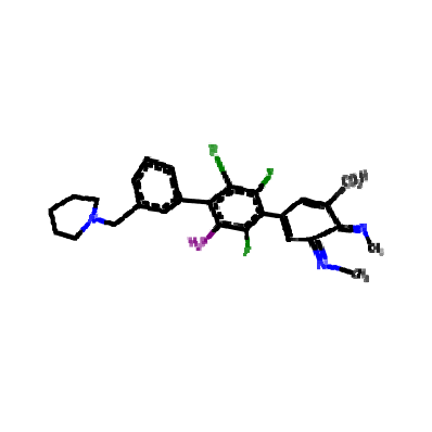 C/N=C1/C=C(c2c(F)c(F)c(-c3cccc(CN4CCCCC4)c3)c(P)c2F)C=C(C(=O)O)/C1=N/C